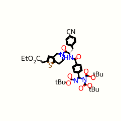 CCOC(=O)Cc1cc2c(s1)CCN(C(=O)[C@H](Cc1ccc(C#N)cc1)NC(=O)c1ccc(C(=NC(=O)OC(C)(C)C)N(C(=O)OC(C)(C)C)C(=O)OC(C)(C)C)cc1)C2